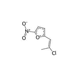 C/C(Cl)=C\c1ccc([N+](=O)[O-])o1